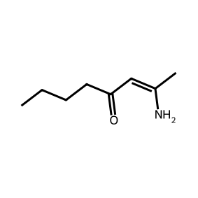 CCCCC(=O)C=C(C)N